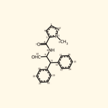 Cn1nccc1C(=O)NC(C=O)C(c1ccccc1)c1ccccc1